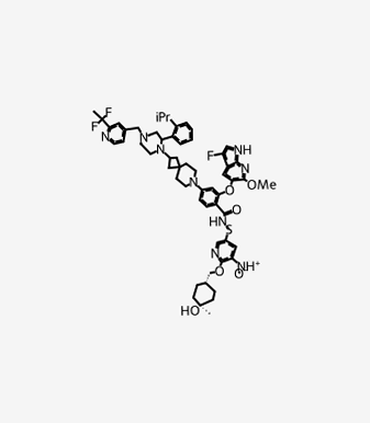 COc1nc2[nH]cc(F)c2cc1Oc1cc(N2CCC3(CC2)CC(N2CCN(Cc4ccnc(C(C)(F)F)c4)CC2c2ccccc2C(C)C)C3)ccc1C(=O)NSc1cnc(OC[C@H]2CC[C@](C)(O)CC2)c([NH+](C)[O-])c1